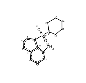 Cc1cncc2cccc(S(=O)(=O)N3CCCCC3)c12